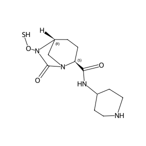 O=C(NC1CCNCC1)[C@@H]1CC[C@@H]2CN1C(=O)N2OS